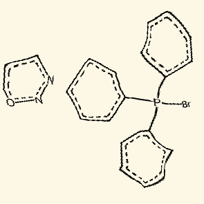 Br[P](c1ccccc1)(c1ccccc1)c1ccccc1.c1conn1